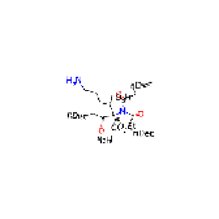 CCCCCCCCCCCC(=O)N(C(=O)CCCCCCCCCCC)[C@](C(=O)CCCCCCCCCCC)(C(=O)OCC)C(CCCN)C(=O)O.[NaH]